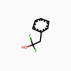 OC(F)(F)Cc1cc[c]cc1